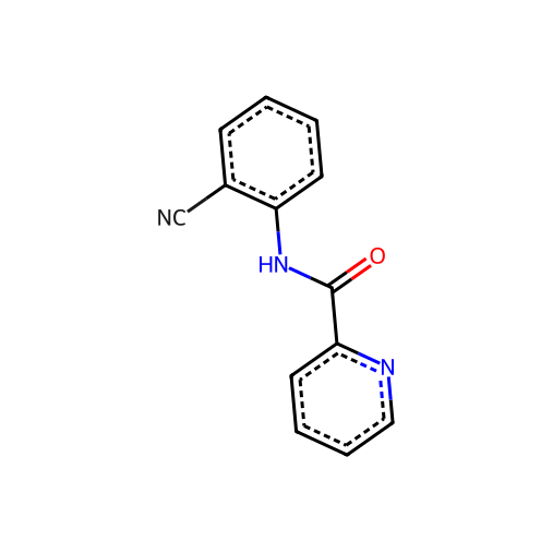 N#Cc1ccccc1NC(=O)c1ccccn1